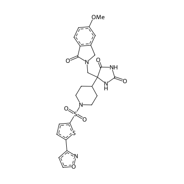 COc1ccc2c(c1)CN(CC1(C3CCN(S(=O)(=O)c4ccc(-c5ccon5)s4)CC3)NC(=O)NC1=O)C2=O